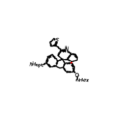 CCCCCCCc1ccc2c(c1)Cc1cc(OCCCCCC)ccc1C21CC(c2cccs2)=NC2=C1CCC=C2